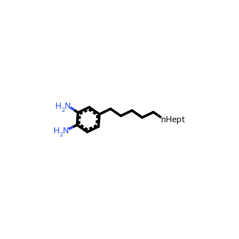 CCCCCCCCCCCCc1ccc(N)c(N)c1